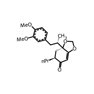 CCC[C@H]1C[C@]2([C@@H](C)Cc3ccc(OC)c(OC)c3)OCOC2=CC1=O